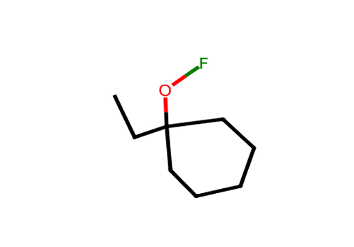 CCC1(OF)CCCCC1